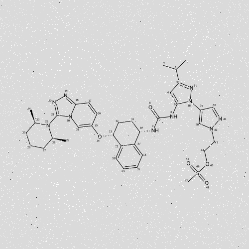 CC(C)c1cc(NC(=O)N[C@H]2CC[C@@H](Oc3ccc4nnc(N5[C@H](C)CCC[C@@H]5C)n4c3)c3ccccc32)n(-c2cnn(CCOS(C)(=O)=O)c2)n1